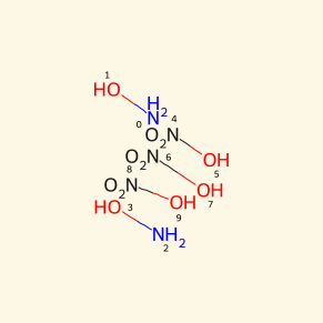 NO.NO.O=[N+]([O-])O.O=[N+]([O-])O.O=[N+]([O-])O